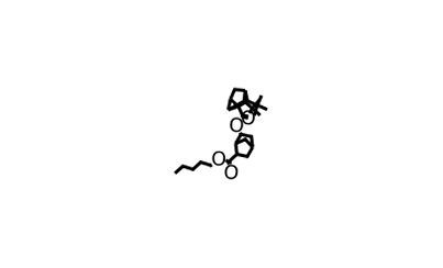 CCCCCOC(=O)C1CC2CC(OC(=O)C34C5CC(C(C(C)(C)C)C53)C4C(C)(C)C)C1C2